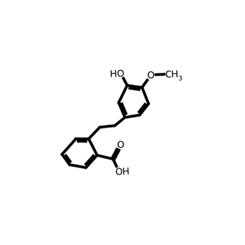 COc1ccc(CCc2ccccc2C(=O)O)cc1O